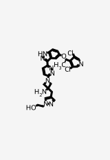 C[C@@H](Oc1ccc2[nH]nc(-c3ccc(N4CC(N)(Cc5cnn(CCO)c5)C4)nn3)c2c1)c1c(Cl)cncc1Cl